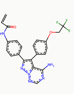 C=CC(=O)Nc1ccc(-c2nn3ncnc(N)c3c2-c2ccc(OCC(F)(F)F)cc2)cc1